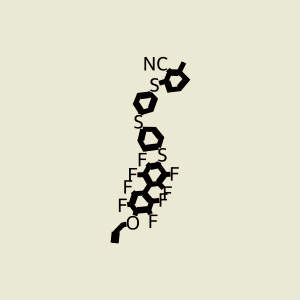 C#CCOc1c(F)c(F)c(-c2c(F)c(F)c(Sc3ccc(Sc4ccc(Sc5cccc(C)c5C#N)cc4)cc3)c(F)c2F)c(F)c1F